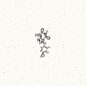 COc1ccc(Cn2cnc3[nH]c(=O)n(C)c(=O)c32)cc1